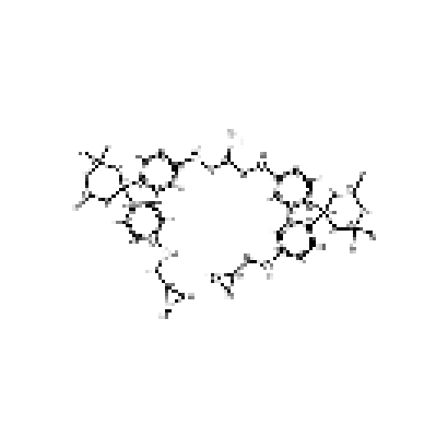 CC1CC(C)(C)CC(c2ccc(OCC(O)COc3ccc(C4(c5ccc(OCC6CO6)cc5)CC(C)CC(C)(C)C4)cc3)cc2)(c2ccc(OCC3CO3)cc2)C1